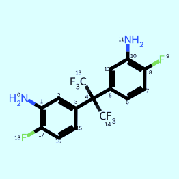 Nc1cc(C(c2ccc(F)c(N)c2)(C(F)(F)F)C(F)(F)F)ccc1F